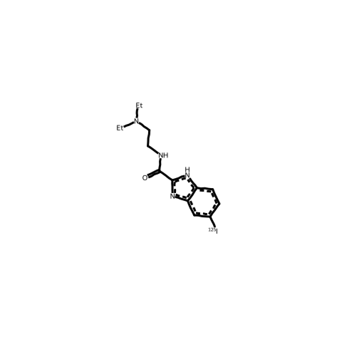 CCN(CC)CCNC(=O)c1nc2cc([125I])ccc2[nH]1